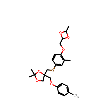 Cc1cc(SCC2(COc3ccc(C(F)(F)F)cc3)COC(C)(C)O2)ccc1OCC1OC(C)O1